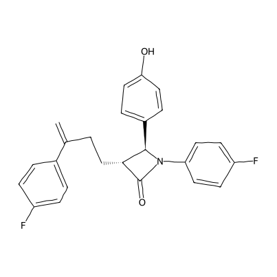 C=C(CC[C@H]1C(=O)N(c2ccc(F)cc2)[C@@H]1c1ccc(O)cc1)c1ccc(F)cc1